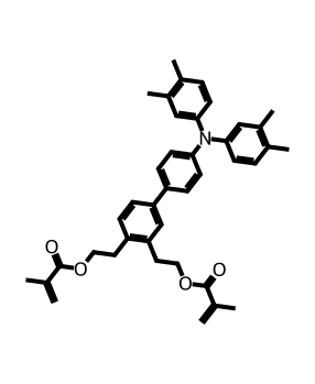 C=C(C)C(=O)OCCc1ccc(-c2ccc(N(c3ccc(C)c(C)c3)c3ccc(C)c(C)c3)cc2)cc1CCOC(=O)C(=C)C